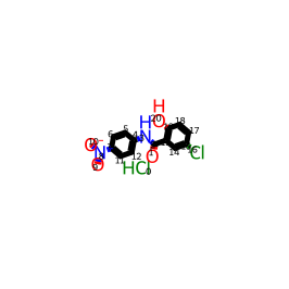 Cl.O=C(Nc1ccc([N+](=O)[O-])cc1)c1cc(Cl)ccc1O